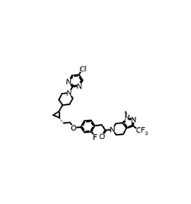 Cn1nc(C(F)(F)F)c2c1CN(C(=O)Cc1ccc(OCC[C@@H]3CC3C3CCN(c4ncc(Cl)cn4)CC3)cc1F)CC2